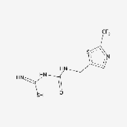 N=C(S)NC(=O)NCc1cnc(C(F)(F)F)s1